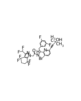 CC(C)(O)C#Cc1ccc(Br)c(C(Cc2cc(F)cc(F)c2)NC(=O)Cn2nc(C(F)F)c3c2C(F)(F)CCC3(F)F)n1